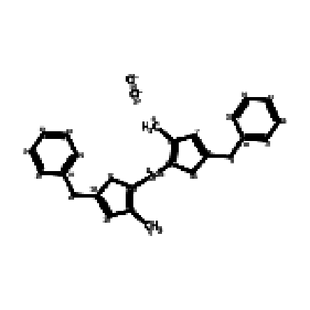 CC1=[C]([Zr+2][C]2=C(C)C=C(Cc3ccccc3)C2)CC(Cc2ccccc2)=C1.[Cl-].[Cl-]